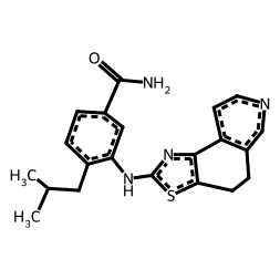 CC(C)Cc1ccc(C(N)=O)cc1Nc1nc2c(s1)CCc1cnccc1-2